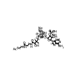 CC(=O)SCCNC(=O)CCNC(=O)[C@H](O)C(C)(C)COP(=O)(O)OP(=O)(O)OC[C@H]1O[C@@H](n2cnc3c(N)ncnc32)[C@H](O)[C@@H]1OP(=O)(O)O.[Na].[Na].[Na]